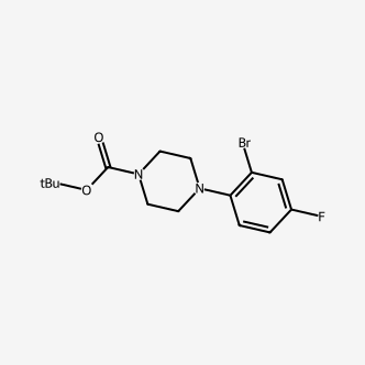 CC(C)(C)OC(=O)N1CCN(c2ccc(F)cc2Br)CC1